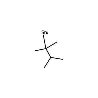 CC(C)[C](C)(C)[Sn]